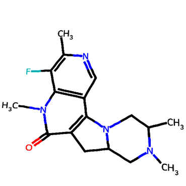 Cc1ncc2c3c(c(=O)n(C)c2c1F)CC1CN(C)C(C)CN31